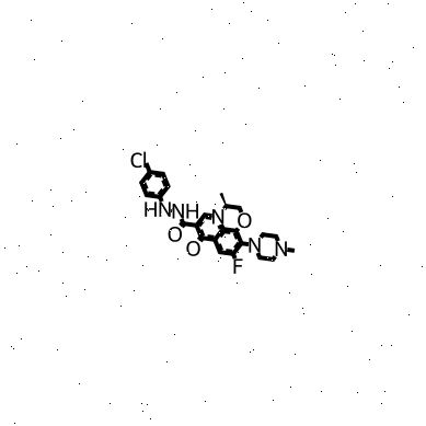 C[C@H]1COc2c(N3CCN(C)CC3)c(F)cc3c(=O)c(C(=O)NNc4ccc(Cl)cc4)cn1c23